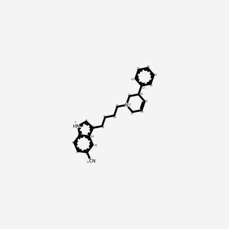 N#Cc1ccc2[nH]cc(CCCCN3CC=CC(c4ccccc4)C3)c2c1